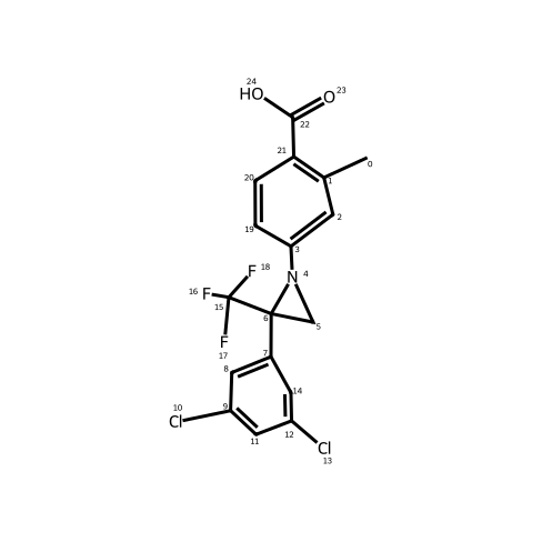 Cc1cc(N2CC2(c2cc(Cl)cc(Cl)c2)C(F)(F)F)ccc1C(=O)O